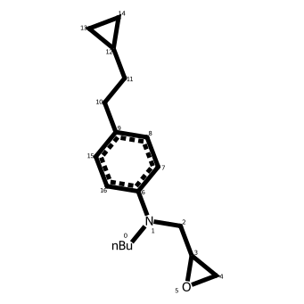 CCCCN(CC1CO1)c1ccc(CCC2CC2)cc1